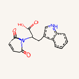 O=C(O)C(Cc1c[nH]c2ccccc12)N1C(=O)C=CC1=O